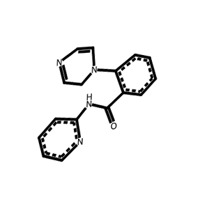 O=C(Nc1ccccn1)c1ccccc1N1C=CN=CC1